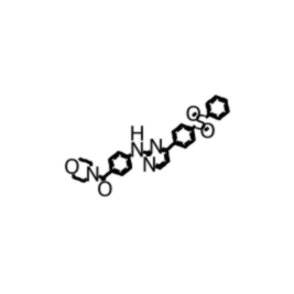 O=C(c1ccc(Nc2nccc(-c3ccc(S(=O)(=O)c4ccccc4)cc3)n2)cc1)N1CCOCC1